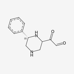 O=CC(=O)C1CNC[C@H](c2ccccc2)N1